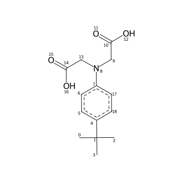 CC(C)(C)c1ccc(N(CC(=O)O)CC(=O)O)cc1